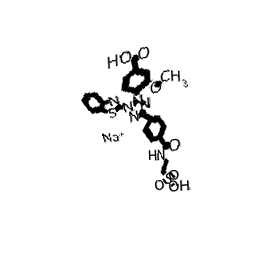 COc1cc(C(=O)O)ccc1-n1nc(-c2ccc(C(=O)NCCS(=O)(=O)O)cc2)n[n+]1-c1nc2ccccc2s1.[Na+]